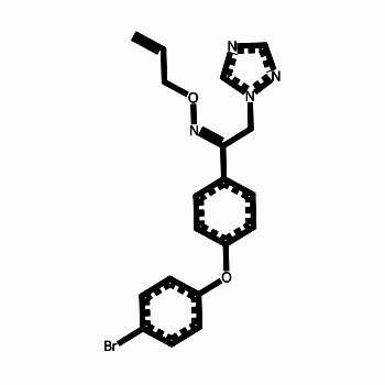 C=CCON=C(Cn1cncn1)c1ccc(Oc2ccc(Br)cc2)cc1